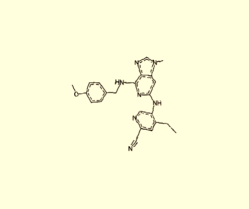 CCc1cc(C#N)ncc1Nc1cc2c(ncn2C)c(NCc2ccc(OC)cc2)n1